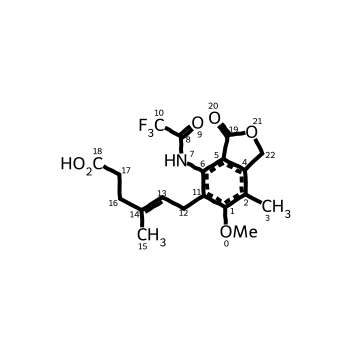 COc1c(C)c2c(c(NC(=O)C(F)(F)F)c1C/C=C(\C)CCC(=O)O)C(=O)OC2